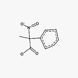 CC(C([O])=O)(c1ccccc1)[N+](=O)[O-]